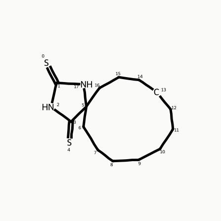 S=C1NC(=S)C2(CCCCCCCCCCC2)N1